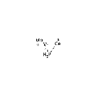 [Mo].[PH2][Ce].[V]